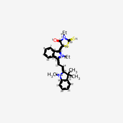 CCN1C(=O)C(=c2c3ccccc3c(=CC=C3N(C)c4ccccc4C3(C)C)n2CC)SC1=S